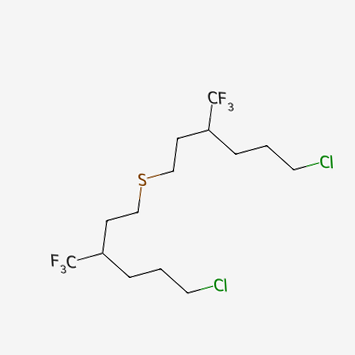 FC(F)(F)C(CCCCl)CCSCCC(CCCCl)C(F)(F)F